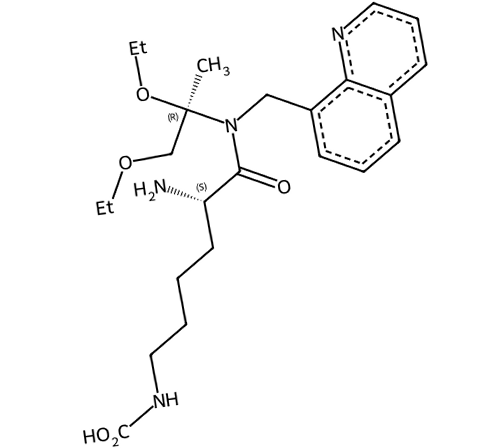 CCOC[C@@](C)(OCC)N(Cc1cccc2cccnc12)C(=O)[C@@H](N)CCCCNC(=O)O